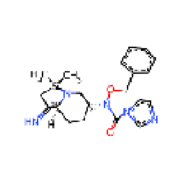 C[Si]1(C)CC(=N)[C@@H]2CC[C@@H](N(OCc3ccccc3)C(=O)n3ccnc3)CN21